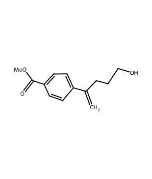 C=C(CCCO)c1ccc(C(=O)OC)cc1